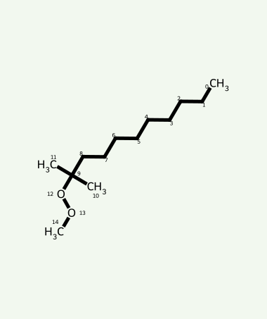 CCCCCCCCCC(C)(C)OOC